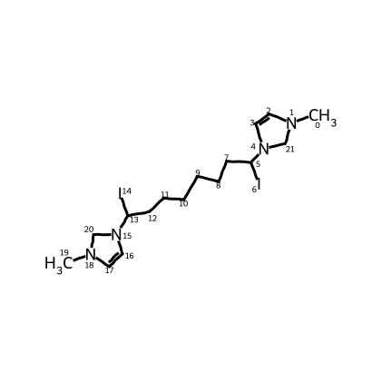 CN1C=CN(C(I)CCCCCCC(I)N2C=CN(C)C2)C1